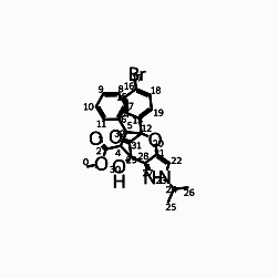 COC(=O)C1C(c2ccccc2)C2(c3ccc(Br)cc3)Oc3cn(C(C)C)nc3[C@@]1(O)C2=O